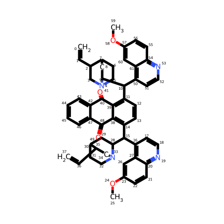 C=CC1CN2CCC1CC2C(c1ccc(C(c2ccnc3ccc(OC)cc23)C2CC3CCN2CC3C=C)c2c1C(=O)c1ccccc1C2=O)c1ccnc2ccc(OC)cc12